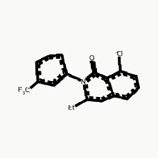 CCc1cc2cccc(Cl)c2c(=O)n1-c1cccc(C(F)(F)F)c1